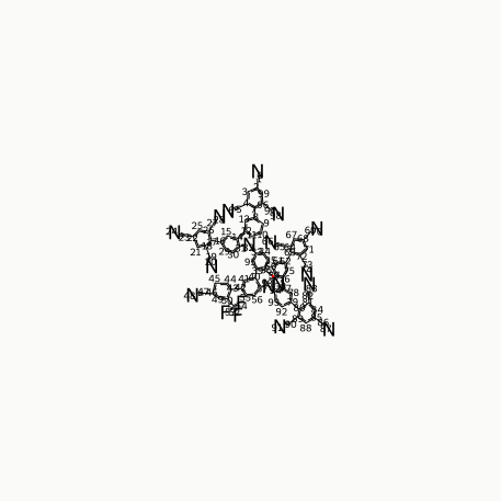 N#Cc1cc(C#N)c(-c2ccc3c(c2)c2cc(-c4c(C#N)cc(C#N)cc4C#N)ccc2n3-c2ccc(C#N)c(-c3cc(-c4ccc(C#N)cc4C(F)(F)F)ccc3-n3c4ccc(-c5c(C#N)cc(C#N)cc5C#N)cc4c4cc(-c5c(C#N)cc(C#N)cc5C#N)ccc43)c2)c(C#N)c1